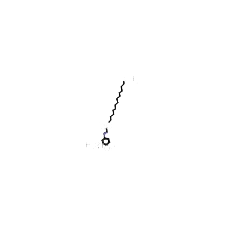 CCCCCCCCCCCCCCCCOC(=O)/C=C/c1ccc(O)c(OC)c1